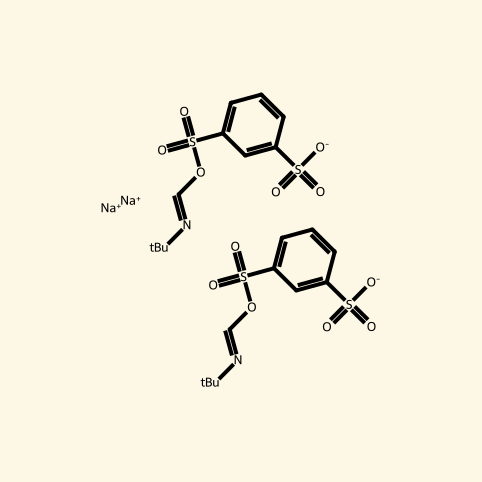 CC(C)(C)N=COS(=O)(=O)c1cccc(S(=O)(=O)[O-])c1.CC(C)(C)N=COS(=O)(=O)c1cccc(S(=O)(=O)[O-])c1.[Na+].[Na+]